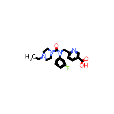 CCN1CCN(C(=O)N(Cc2ccc(C(=O)O)cn2)c2cccc(F)c2)CC1